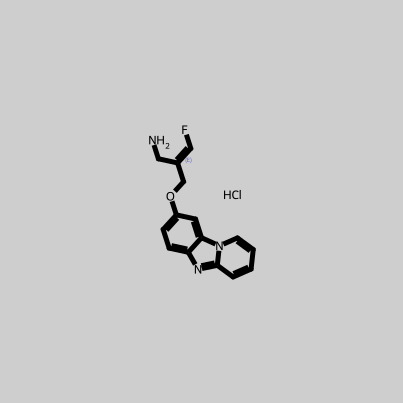 Cl.NC/C(=C\F)COc1ccc2nc3ccccn3c2c1